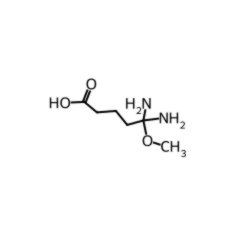 COC(N)(N)CCCC(=O)O